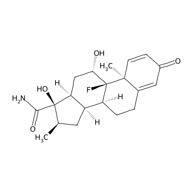 C[C@@H]1C[C@H]2[C@H](C[C@H](O)[C@@]3(F)[C@H]2CCC2=CC(=O)C=C[C@@]23C)[C@@]1(O)C(N)=O